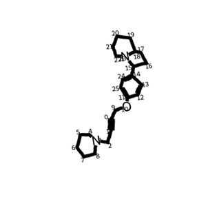 C(#CCN1CCCCC1)COc1ccc(C2CCC3CCCCN32)cc1